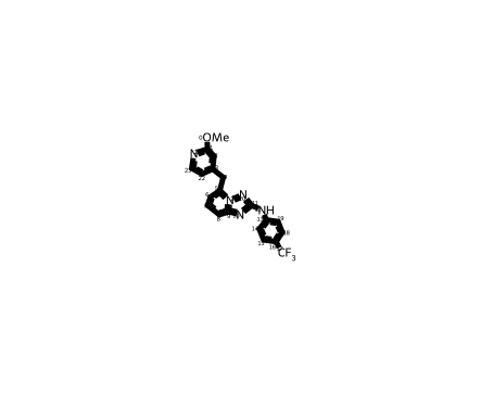 COc1cc(Cc2cccc3nc(Nc4ccc(C(F)(F)F)cc4)nn23)ccn1